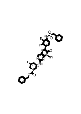 CC(C)n1c(=O)c(-c2ccc(NS(=O)(=O)Cc3ccccc3)c(F)c2F)nc2cnc(N[C@H]3C[C@H](F)CN(C(=O)OCc4ccccc4)C3)nc21